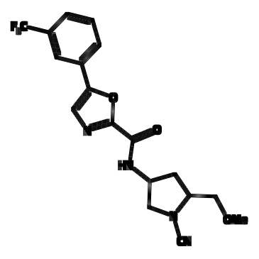 COCC1CC(NC(=O)c2ncc(-c3cccc(C(F)(F)F)c3)o2)CN1C#N